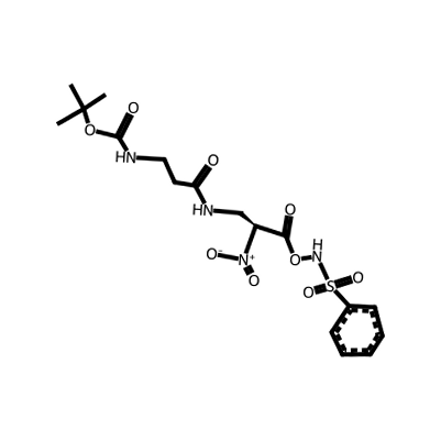 CC(C)(C)OC(=O)NCCC(=O)NC[C@@H](C(=O)ONS(=O)(=O)c1ccccc1)[N+](=O)[O-]